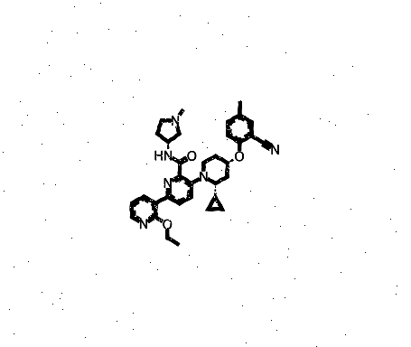 CCOc1ncccc1-c1ccc(N2CC[C@H](Oc3ccc(C)cc3C#N)C[C@@H]2C2CC2)c(C(=O)N[C@@H]2CCN(C)C2)n1